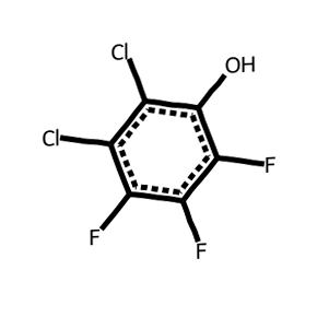 Oc1c(F)c(F)c(F)c(Cl)c1Cl